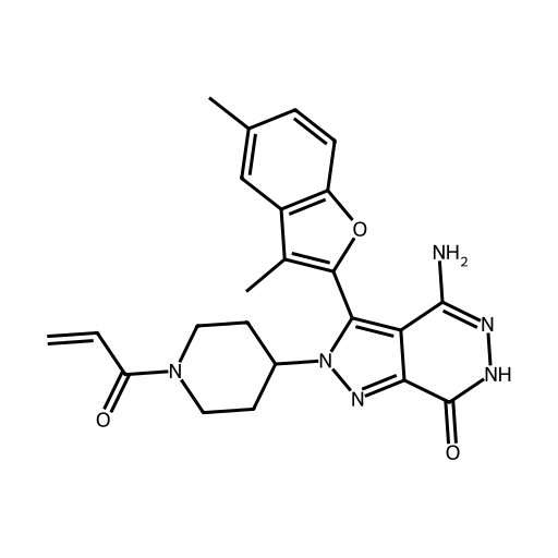 C=CC(=O)N1CCC(n2nc3c(=O)[nH]nc(N)c3c2-c2oc3ccc(C)cc3c2C)CC1